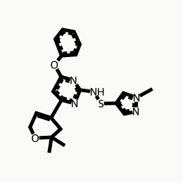 Cn1cc(SNc2nc(Oc3ccccc3)cc(C3=CCOC(C)(C)C3)n2)cn1